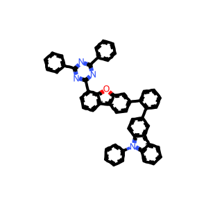 c1ccc(-c2nc(-c3ccccc3)nc(-c3cccc4c3oc3cc(-c5ccccc5-c5ccc6c(c5)c5ccccc5n6-c5ccccc5)ccc34)n2)cc1